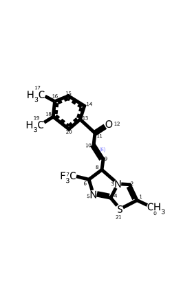 CC1=CN2C(=NC(C(F)(F)F)C2/C=C/C(=O)c2ccc(C)c(C)c2)S1